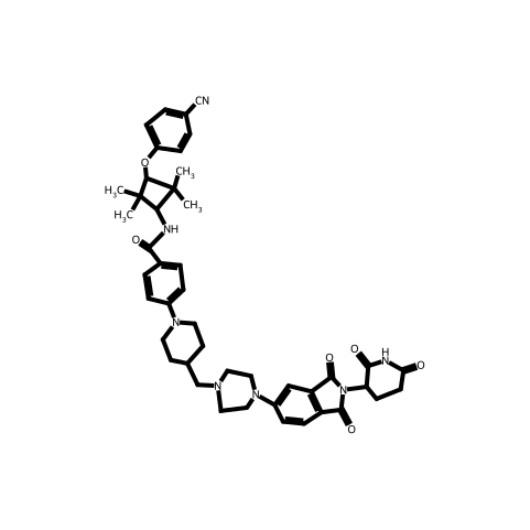 CC1(C)C(NC(=O)c2ccc(N3CCC(CN4CCN(c5ccc6c(c5)C(=O)N(C5CCC(=O)NC5=O)C6=O)CC4)CC3)cc2)C(C)(C)C1Oc1ccc(C#N)cc1